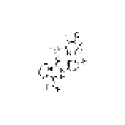 CN1C(=O)C(C)(C)[C@@](C)(c2cc(NC(=O)N3CC=CC=C3OC(F)F)ccc2F)N=C1N